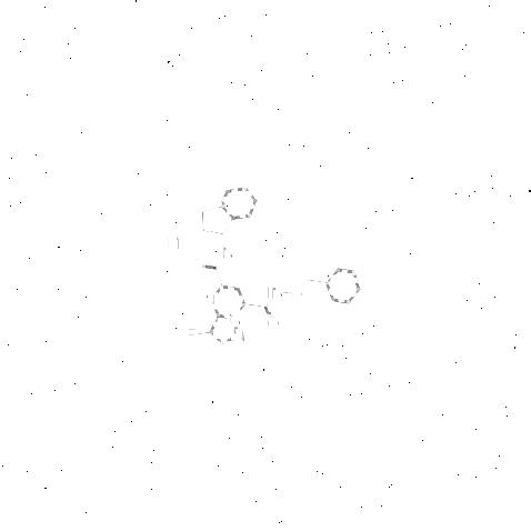 O=C(N[C@H]1c2ccccc2C[C@H]1O)c1cc(C(=O)NOCc2ccccc2)n2ncc(F)c2n1